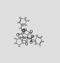 O=C(NC1(C(=O)N(C2CNC2=O)S(=O)(=O)c2ccccc2)CCCCC1)OCc1ccccc1